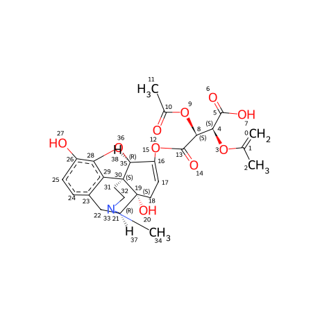 C=C(C)O[C@H](C(=O)O)[C@H](OC(C)=O)C(=O)OC1=CC[C@@]2(O)[C@H]3Cc4ccc(O)c5c4[C@@]2(CCN3C)[C@H]1O5